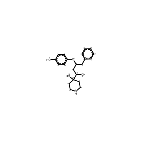 Oc1ccc(OC(Cc2ccccc2)CC(O)C2(O)CCNCC2)cc1